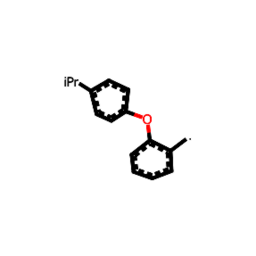 [CH2]c1ccccc1Oc1ccc(C(C)C)cc1